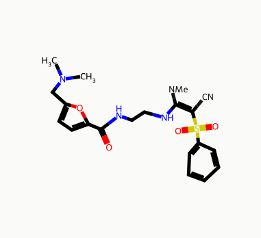 CN/C(NCCNC(=O)c1ccc(CN(C)C)o1)=C(\C#N)S(=O)(=O)c1ccccc1